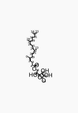 CC(=CCCC(=O)OCC(O)C1OC(=O)C(O)=C1O)CCCC(C)CCCC(C)CCCC(C)C